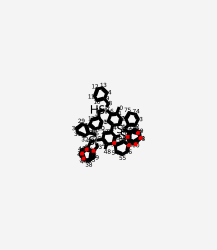 Cc1cc2c(cc1[SiH](Cc1ccccc1)Cc1ccccc1)-c1cc([Si](Cc3ccccc3)(Cc3ccccc3)Cc3ccccc3)c(C)cc1[Si](c1ccccc1)(c1ccccc1)[Si]2(c1ccccc1)c1ccccc1